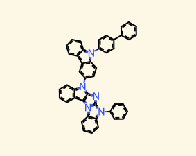 c1ccc(-c2ccc(-n3c4ccccc4c4cc(-n5c6ccccc6c6c5nc5n(-c7ccccc7)c7ccccc7n65)ccc43)cc2)cc1